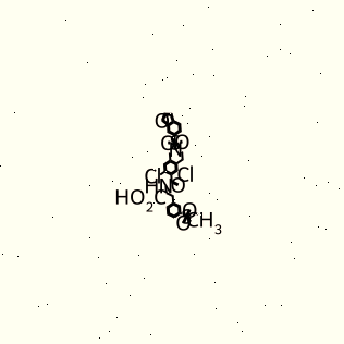 CS(=O)(=O)c1cccc(CC(NC(=O)c2c(Cl)cc3c(c2Cl)CCN(S(=O)(=O)c2ccc4ccoc4c2)C3)C(=O)O)c1